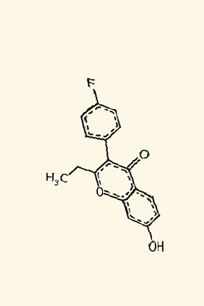 CCc1oc2cc(O)ccc2c(=O)c1-c1ccc(F)cc1